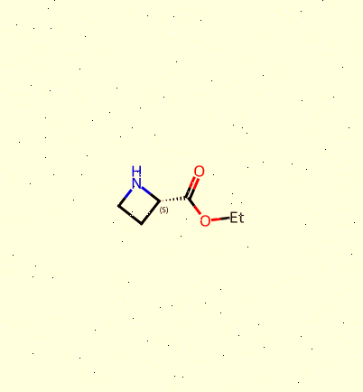 CCOC(=O)[C@@H]1CCN1